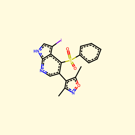 Cc1noc(C)c1-c1cnc2[nH]cc(I)c2c1S(=O)(=O)c1ccccc1